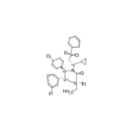 CC[C@]1(CC(=O)O)C[C@H](c2cccc(Cl)c2)[C@@H](c2ccc(Cl)cc2)N([C@H](CS(=O)(=O)c2ccccc2)C2CC2)C1=O